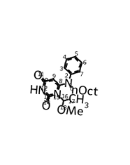 CCCCCCCCN(c1ccccc1)c1cc(=O)[nH]c(=O)n1C(C)OC